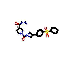 NC(=O)[C@@H]1CCN(C(=O)N2CC(c3ccc(S(=O)(=O)c4ccccc4)cc3)C2)C1